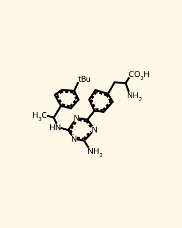 CC(Nc1nc(N)nc(-c2ccc(CC(N)C(=O)O)cc2)n1)c1ccc(C(C)(C)C)cc1